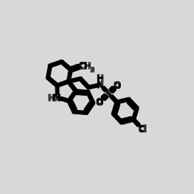 C=C1CCCC2Nc3ccccc3C12CCNS(=O)(=O)c1ccc(Cl)cc1